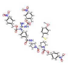 COc1ccc(CS[C@H]2C[C@@H](C(=O)N3CC[C@H](NC(=O)c4ccc(N(C(=N)NC(=O)OCc5ccc([N+](=O)[O-])cc5)C(=O)OCc5ccc([N+](=O)[O-])cc5)cc4)C3)N(C(=O)OCc3ccc([N+](=O)[O-])cc3)C2)cc1